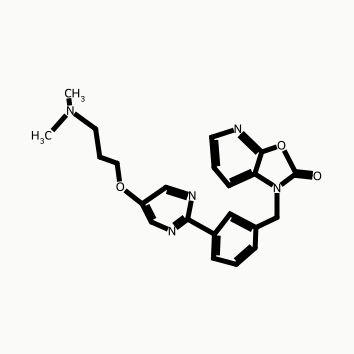 CN(C)CCCOc1cnc(-c2cccc(Cn3c(=O)oc4ncccc43)c2)nc1